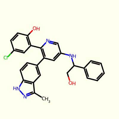 Cc1n[nH]c2ccc(-c3cc(NC(CO)c4ccccc4)cnc3-c3cc(Cl)ccc3O)cc12